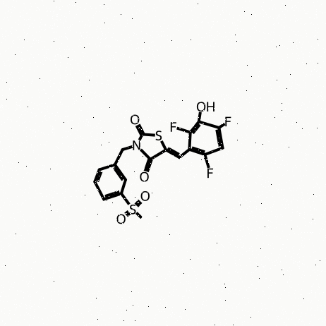 CS(=O)(=O)c1cccc(CN2C(=O)S/C(=C\c3c(F)cc(F)c(O)c3F)C2=O)c1